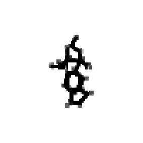 CCCC(F)(c1ccc2c(c1)CCS2)C(C)NC